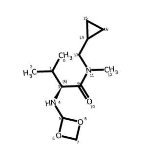 CC(C)[C@H](NC1OCO1)C(=O)N(C)CC1CC1